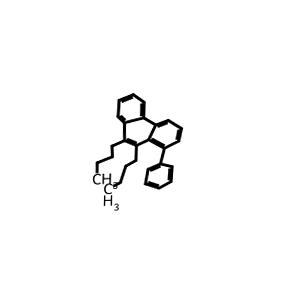 CCCCc1c(CCCC)c2c(-c3ccccc3)cccc2c2ccccc12